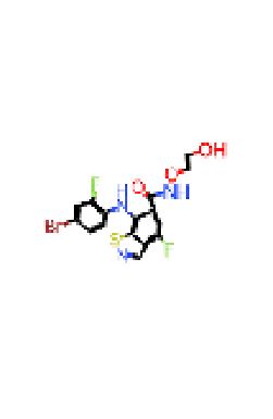 O=C(NOCCO)c1cc(F)c2cnsc2c1Nc1ccc(Br)cc1F